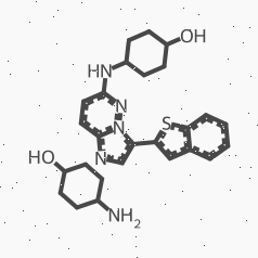 NC1CCC(O)CC1.OC1CCC(Nc2ccc3ncc(-c4cc5ccccc5s4)n3n2)CC1